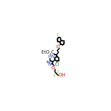 CCOC(=O)c1[nH]c2c(-c3c(COCCC(F)(F)CO)nn(C)c3C)c(Cl)ccc2c1CCCOc1cccc2cc(F)ccc12